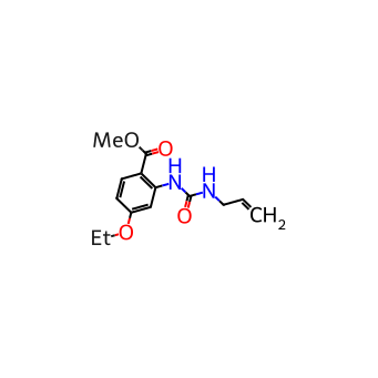 C=CCNC(=O)Nc1cc(OCC)ccc1C(=O)OC